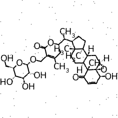 CC1=C(CO[C@@H]2O[C@H](CO)[C@@H](O)[C@H](O)[C@H]2O)C(=O)O[C@@H]([C@@H](C)[C@H]2CC[C@@]3(C)[C@@H]4C[C@H]5O[C@]56[C@@H](O)C=CC(=O)[C@]6(C)[C@H]4CC[C@]23C)C1